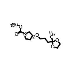 CC(C)(C)OC(=O)N1CC[C@@H](OCCCC2(C)OCCO2)C1